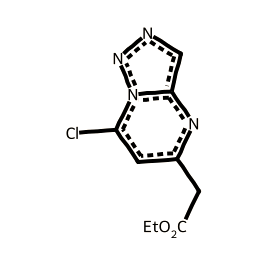 CCOC(=O)Cc1cc(Cl)n2nncc2n1